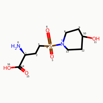 N[C@@H](CCS(=O)(=O)N1CCC(O)CC1)C(=O)O